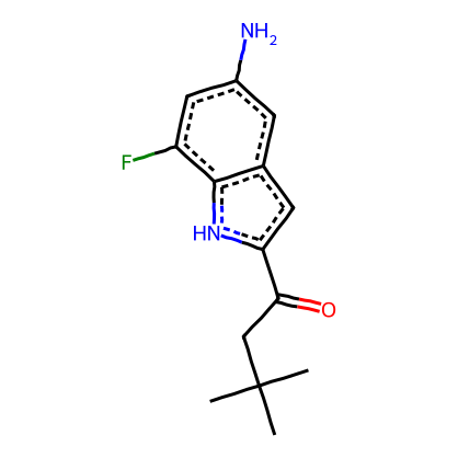 CC(C)(C)CC(=O)c1cc2cc(N)cc(F)c2[nH]1